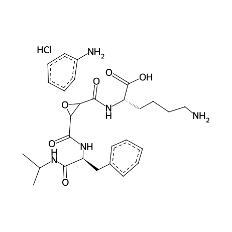 CC(C)NC(=O)[C@H](Cc1ccccc1)NC(=O)C1OC1C(=O)N[C@@H](CCCCN)C(=O)O.Cl.Nc1ccccc1